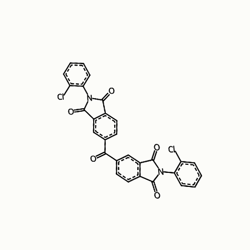 O=C(c1ccc2c(c1)C(=O)N(c1ccccc1Cl)C2=O)c1ccc2c(c1)C(=O)N(c1ccccc1Cl)C2=O